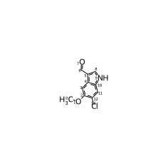 COc1cc2c(C=O)c[nH]c2cc1Cl